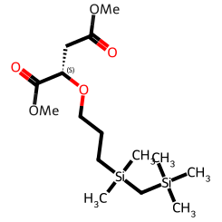 COC(=O)C[C@H](OCCC[Si](C)(C)C[Si](C)(C)C)C(=O)OC